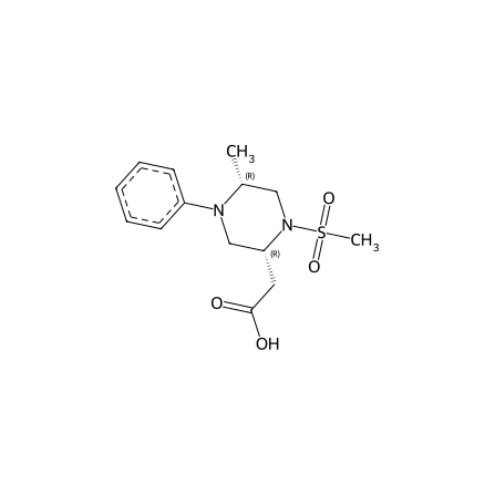 C[C@@H]1CN(S(C)(=O)=O)[C@H](CC(=O)O)CN1c1ccccc1